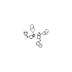 O=C(c1ccc2occ(C3CCN4CCCCC4C3)c2c1)c1cccc2ccccc12.O=C(c1ccncc1)c1ccc2scc(C3CCC4CCCCN4CC3)c2c1